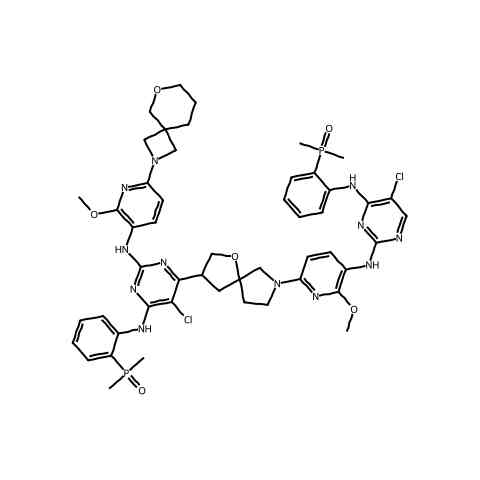 COc1nc(N2CCC3(CC(c4nc(Nc5ccc(N6CC7(CCCOC7)C6)nc5OC)nc(Nc5ccccc5P(C)(C)=O)c4Cl)CO3)C2)ccc1Nc1ncc(Cl)c(Nc2ccccc2P(C)(C)=O)n1